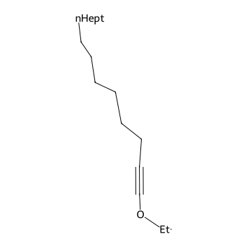 C[CH]OC#CCCCCCCCCCCCCC